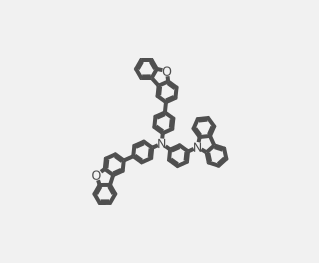 c1cc(N(c2ccc(-c3ccc4oc5ccccc5c4c3)cc2)c2ccc(-c3ccc4oc5ccccc5c4c3)cc2)cc(-n2c3ccccc3c3ccccc32)c1